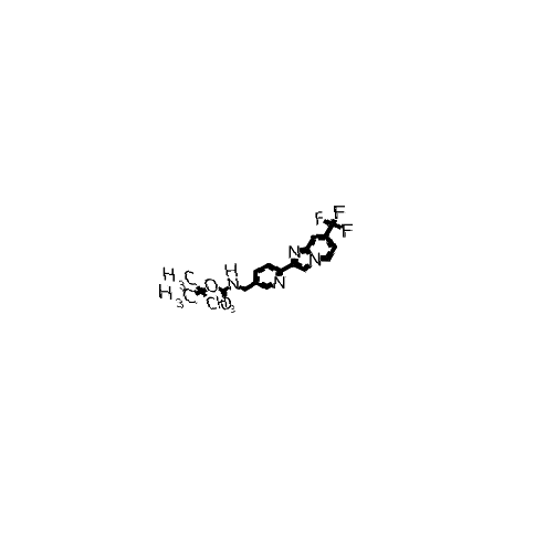 CC(C)(C)OC(=O)NCc1ccc(-c2cn3ccc(C(F)(F)F)cc3n2)nc1